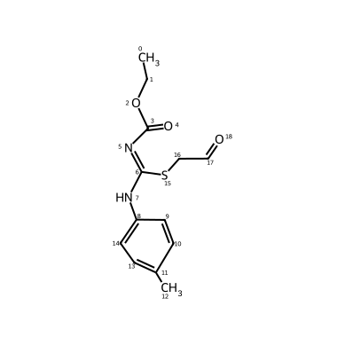 CCOC(=O)/N=C(/Nc1ccc(C)cc1)SCC=O